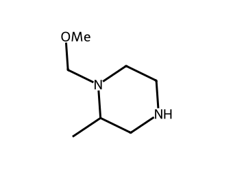 COCN1CCNCC1C